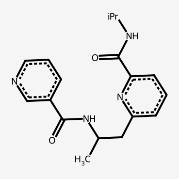 CC(C)NC(=O)c1cccc(CC(C)NC(=O)c2cccnc2)n1